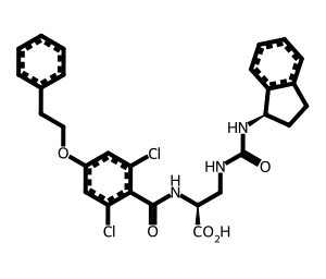 O=C(NC[C@H](NC(=O)c1c(Cl)cc(OCCc2ccccc2)cc1Cl)C(=O)O)N[C@@H]1CCc2ccccc21